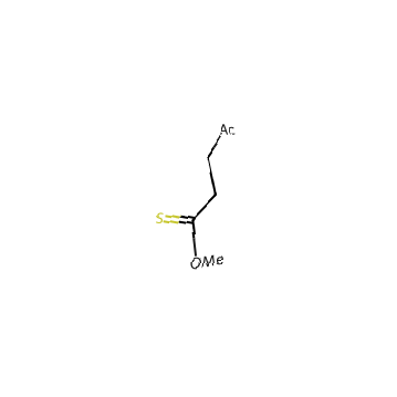 COC(=S)CCC(C)=O